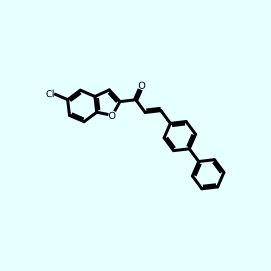 O=C(C=Cc1ccc(-c2ccccc2)cc1)c1cc2cc(Cl)ccc2o1